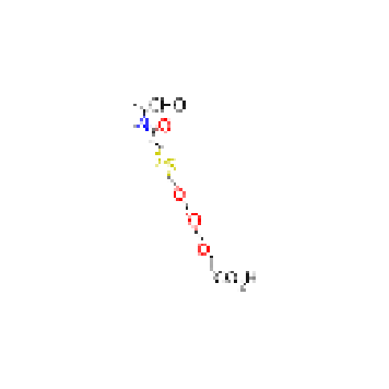 CC(C=O)N(C)C(=O)CCSSCCOCCOCCOCCC(=O)O